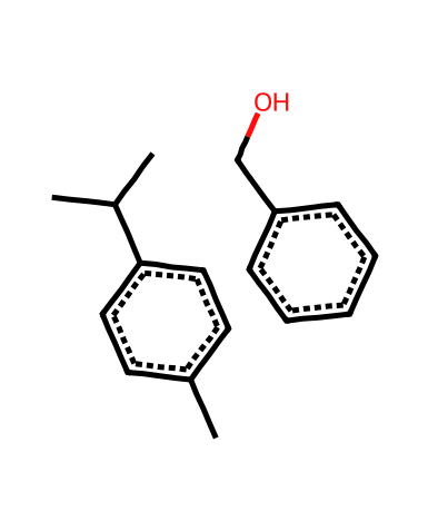 Cc1ccc(C(C)C)cc1.OCc1ccccc1